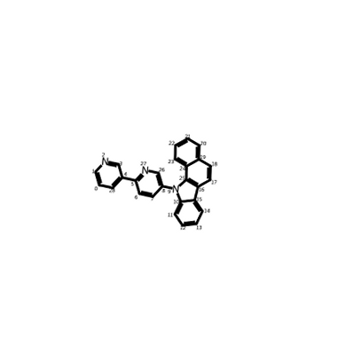 c1cncc(-c2ccc(-n3c4ccccc4c4ccc5ccccc5c43)cn2)c1